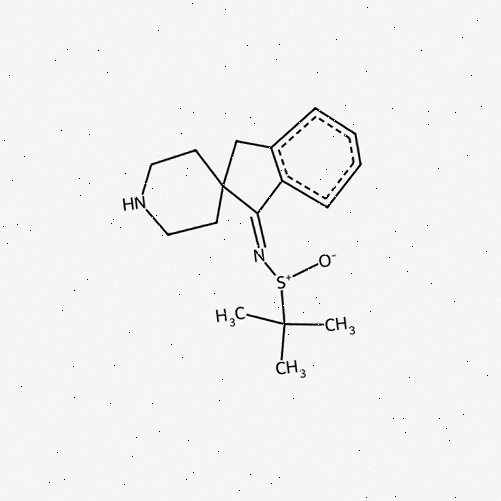 CC(C)(C)[S+]([O-])N=C1c2ccccc2CC12CCNCC2